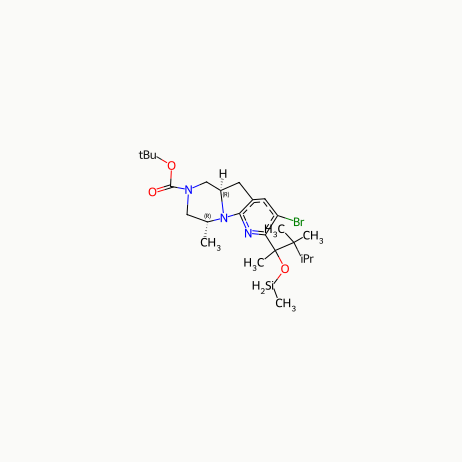 C[SiH2]OC(C)(c1nc2c(cc1Br)C[C@@H]1CN(C(=O)OC(C)(C)C)C[C@@H](C)N21)C(C)(C)C(C)C